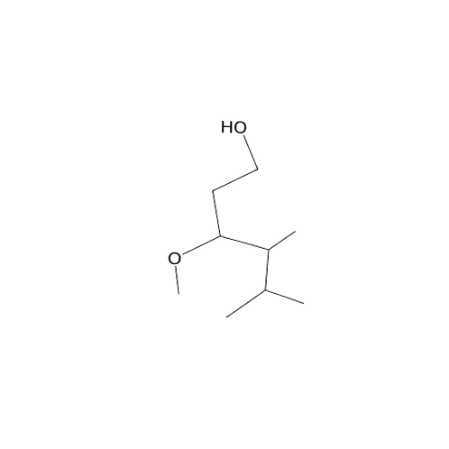 COC(CCO)C(C)C(C)C